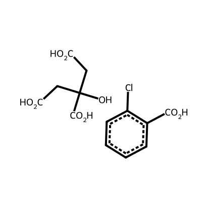 O=C(O)CC(O)(CC(=O)O)C(=O)O.O=C(O)c1ccccc1Cl